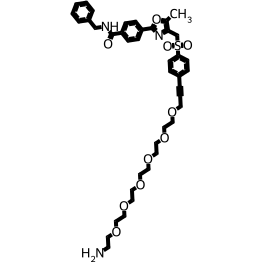 Cc1oc(-c2ccc(C(=O)NCc3ccccc3)cc2)nc1CS(=O)(=O)c1ccc(C#CCOCCOCCOCCOCCOCCOCCN)cc1